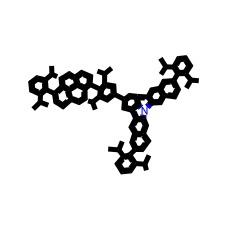 CC(C)c1cccc(C(C)C)c1-c1ccc2cc3c(cc2c1)c1cc(-c2cc(C(C)C)c(-c4ccc5ccc6c(-c7c(C(C)C)cccc7C(C)C)ccc7ccc4c5c76)c(C(C)C)c2)cc2c4cc5cc(-c6c(C(C)C)cccc6C(C)C)ccc5cc4n3c12